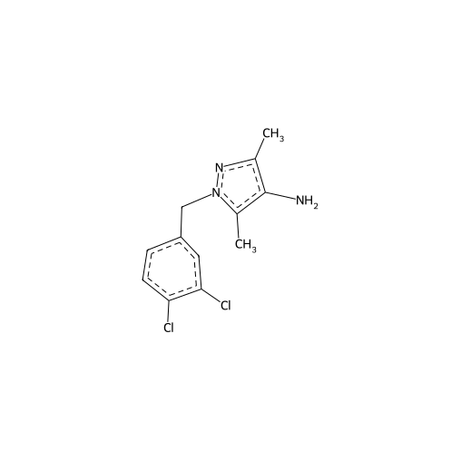 Cc1nn(Cc2ccc(Cl)c(Cl)c2)c(C)c1N